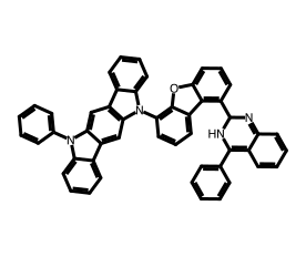 c1ccc(C2=c3ccccc3=NC(c3cccc4oc5c(-n6c7ccccc7c7cc8c(cc76)c6ccccc6n8-c6ccccc6)cccc5c34)N2)cc1